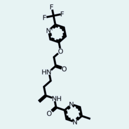 C=C(CCNC(=O)COc1ccc(C(F)(F)F)nc1)NC(=O)c1cnc(C)cn1